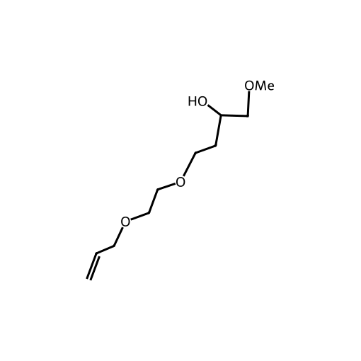 C=CCOCCOCCC(O)COC